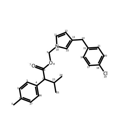 Cc1ccc(C(C(=O)OCn2ccc(Cc3ccc(Cl)cc3)c2)C(C)C)cc1